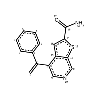 C=C(c1ccccc1)c1cncc2sc(C(N)=O)cc12